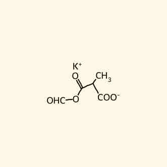 CC(C(=O)[O-])C(=O)OC=O.[K+]